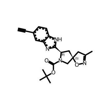 C#Cc1ccc2[nH]c([C@H]3C[C@]4(CC(C)=NO4)CN3C(=O)OC(C)(C)C)nc2c1